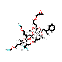 CC(C[Si](C)(O[Si](C)(C)CCCOCCC(F)(F)F)O[Si](C)(CCCOCC1CO1)O[SiH](C)O[Si](C)(C)O[Si](C)(CCCOCF)O[Si](C)(C)CCCOCF)c1ccccc1